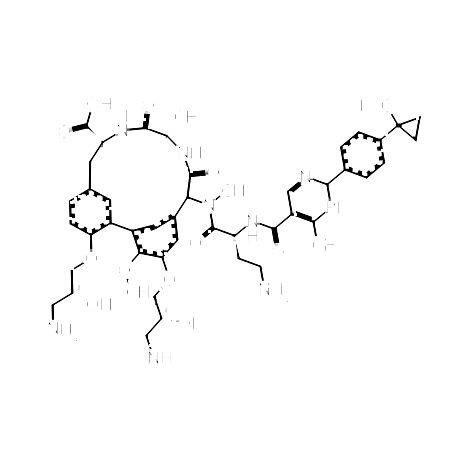 COc1c(OC[C@H](O)CN)cc2cc1-c1cc(ccc1OC[C@H](O)CN)C[C@@H](C(=O)O)NC(=O)[C@H](C)NC(=O)C2N(C)C(=O)[C@H](CCN)NC(=O)C1=C(C)PC(c2ccc(C3(C)CC3)cc2)N=C1